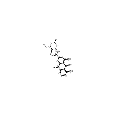 CCOC(=O)[C@H](CC(C)C)NC(=O)c1cc(O)c2c(c1)C(=O)c1cccc(O)c1C2=O